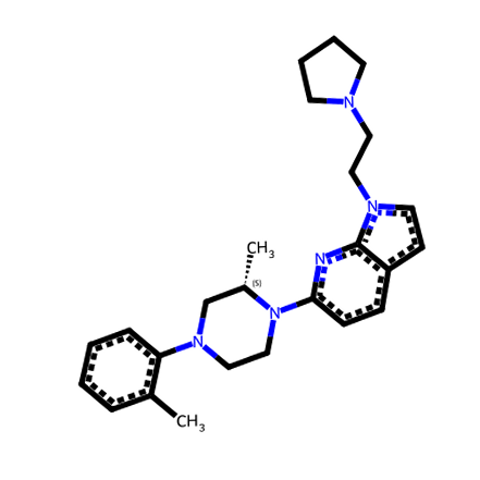 Cc1ccccc1N1CCN(c2ccc3ccn(CCN4CCCC4)c3n2)[C@@H](C)C1